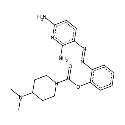 CN(C)C1CCN(C(=O)Oc2ccccc2/N=N/c2ccc(N)nc2N)CC1